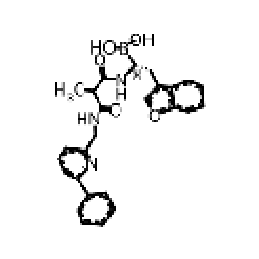 CC(C(=O)NCc1cccc(-c2ccccc2)n1)C(=O)N[C@@H](Cc1coc2ccccc12)B(O)O